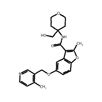 Cc1ccncc1COc1ccc2oc(C)c(C(=O)NC3(CO)CCOCC3)c2c1